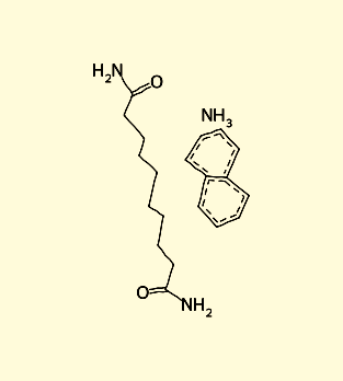 N.NC(=O)CCCCCCCCC(N)=O.c1ccc2ccccc2c1